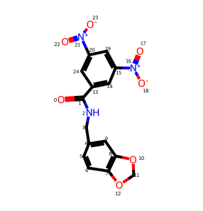 O=C(NCc1ccc2c(c1)OCO2)c1cc([N+](=O)[O-])cc([N+](=O)[O-])c1